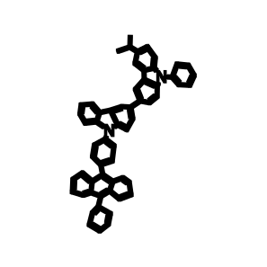 CC(C)c1ccc2c(c1)c1cc(-c3ccc4c(c3)c3ccccc3n4-c3ccc(-c4c5ccccc5c(-c5ccccc5)c5ccccc45)cc3)ccc1n2-c1ccccc1